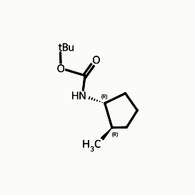 C[C@@H]1CCC[C@H]1NC(=O)OC(C)(C)C